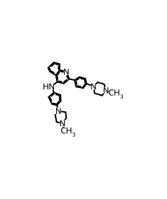 CN1CCN(c2ccc(Nc3cc(-c4ccc(N5CCN(C)CC5)cc4)nc4ccccc34)cc2)CC1